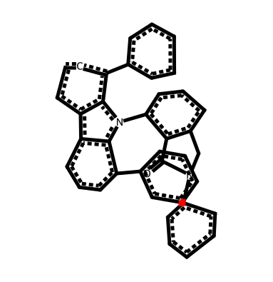 O=C1c2c(cccc2-n2c3c(-c4ccccc4)cccc3c3cccc(-c4ccccc4)c32)CN1c1ccccc1